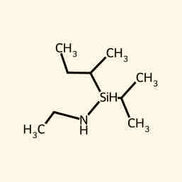 CCN[SiH](C(C)C)C(C)CC